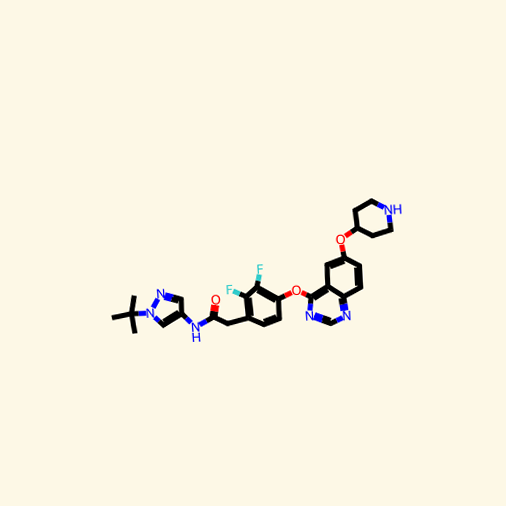 CC(C)(C)n1cc(NC(=O)Cc2ccc(Oc3ncnc4ccc(OC5CCNCC5)cc34)c(F)c2F)cn1